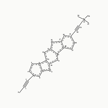 CC#Cc1ccc2c(c1)oc1cc3c(cc12)oc1cc(C#C[Si](C)(C)C)ccc13